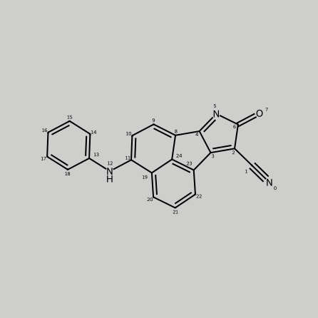 N#CC1=C2C(=NC1=O)c1ccc(Nc3ccccc3)c3cccc2c13